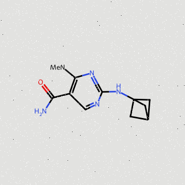 CNc1nc(NC23CC(C2)C3)ncc1C(N)=O